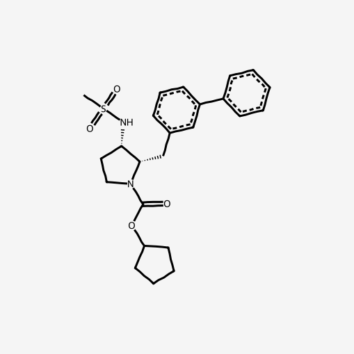 CS(=O)(=O)N[C@H]1CCN(C(=O)OC2CCCC2)[C@H]1Cc1cccc(-c2ccccc2)c1